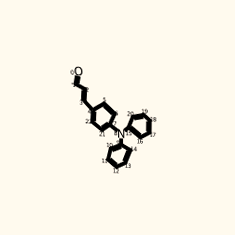 O=[C]C=Cc1ccc(N(c2ccccc2)c2ccccc2)cc1